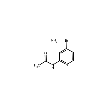 CC(=O)Nc1cc(Br)ccn1.N